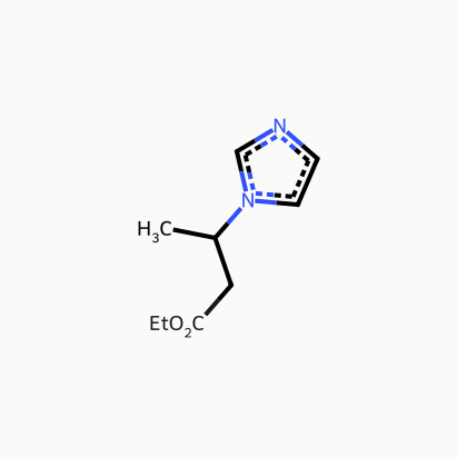 CCOC(=O)CC(C)n1ccnc1